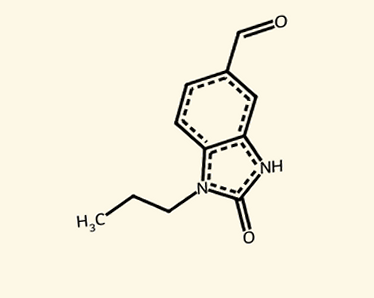 CCCn1c(=O)[nH]c2cc(C=O)ccc21